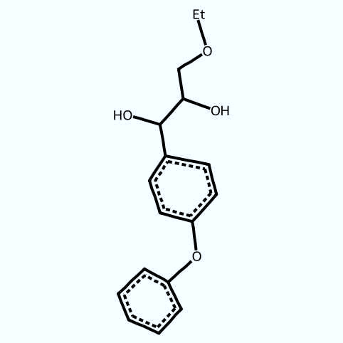 CCOCC(O)C(O)c1ccc(Oc2ccccc2)cc1